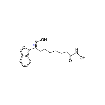 O=C(CCCCCC/C(=N\O)c1occ2ccccc12)NO